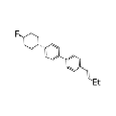 CCC=Cc1ccc(-c2ccc([C@H]3CC[C@H](F)CC3)cc2)cc1